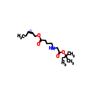 CC/C=C\COC(=O)CCCNCC(=O)OC(C)(C)C